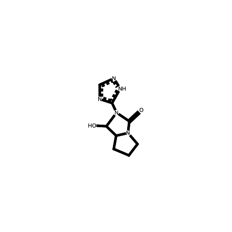 O=C1N2CCCC2C(O)N1c1ncn[nH]1